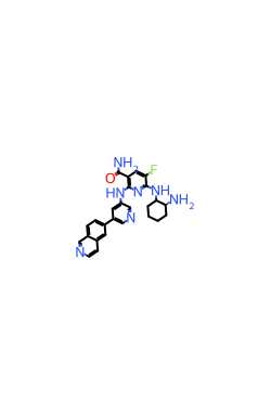 NC(=O)c1cc(F)c(NC2CCCC[C@@H]2N)nc1Nc1cncc(-c2ccc3cnccc3c2)c1